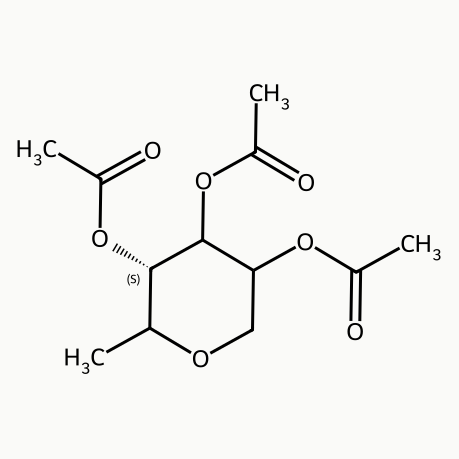 CC(=O)OC1COC(C)[C@H](OC(C)=O)C1OC(C)=O